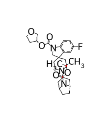 CC(C)OC(=O)N1C2CCC1CC(N1CCC3(CC1)CN(C(=O)O[C@H]1CCOC1)c1ccc(F)cc13)C2